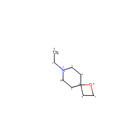 N#CCN1CCC2(CCO2)CC1